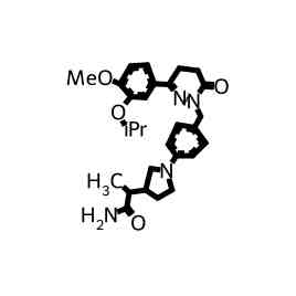 COc1ccc(C2=NN(Cc3ccc(N4CCC(C(C)C(N)=O)C4)cc3)C(=O)CC2)cc1OC(C)C